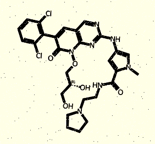 Cn1cc(Nc2ncc3cc(-c4c(Cl)cccc4Cl)c(=O)n(OC[C@H](O)CO)c3n2)cc1C(=O)NCCN1CCCC1